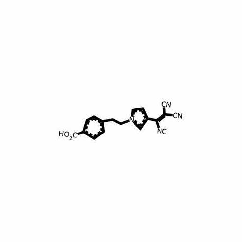 [C-]#[N+]C(=C(C#N)C#N)c1ccn(CCc2ccc(C(=O)O)cc2)c1